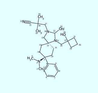 CN(C)[C@]1(c2ccccc2)CC[C@]2(CC1)CN(CC(C)(C)C#N)C(O)N2CC1(O)CCC1